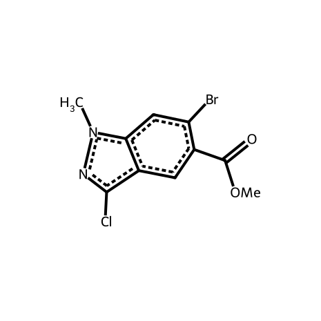 COC(=O)c1cc2c(Cl)nn(C)c2cc1Br